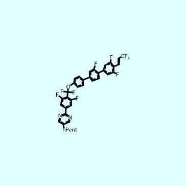 CCCCCc1cnc(-c2cc(F)c(C(F)(F)Oc3ccc(-c4ccc(-c5cc(F)c(/C=C/C(F)(F)F)c(F)c5)c(F)c4)cc3)c(F)c2)nc1